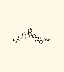 C=CC(=O)Nc1cccc(-n2c(=O)n(-c3ccc(NC(=O)c4cccc(OC)c4)cc3)c3cnccc32)c1